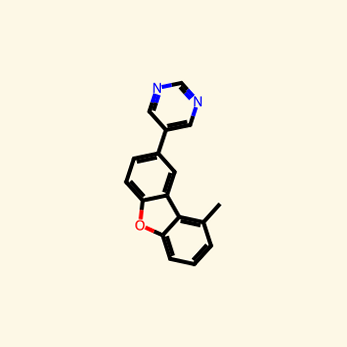 Cc1cccc2oc3ccc(-c4cncnc4)cc3c12